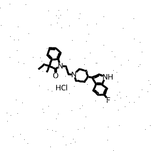 CCC1(C)C(=O)N(CCN2CCC(c3c[nH]c4cc(F)ccc34)CC2)c2ccccc21.Cl